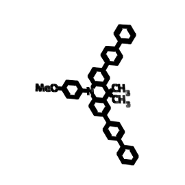 COc1ccc(N2c3ccc(-c4ccc(-c5ccccc5)cc4)cc3C(C)(C)c3cc(-c4ccc(-c5ccccc5)cc4)ccc32)cc1